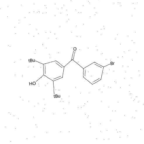 CC(C)(C)c1cc(C(=O)c2cccc(Br)c2)cc(C(C)(C)C)c1O